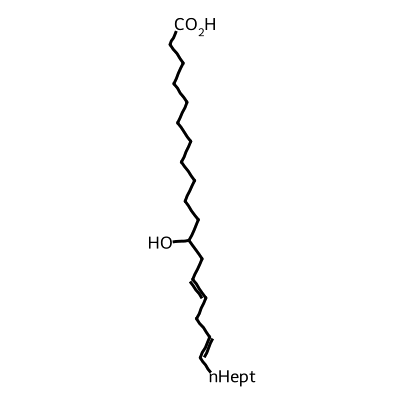 CCCCCCCC=CCC=CCC(O)CCCCCCCCCCC(=O)O